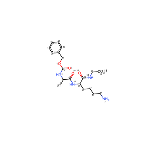 CC(C)C(NC(=O)OCc1ccccc1)C(=O)NC(CCCCN)C(=O)NCC(=O)O